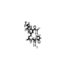 C=C(CCc1cc(C(=O)NC)c2nc(C(F)(F)F)c(C)n2n1)N(C)/C=C(\N)N1CCCC1=O